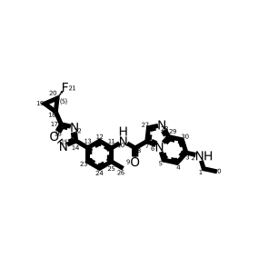 CCNc1ccn2c(C(=O)Nc3cc(-c4noc(C5C[C@@H]5F)n4)ccc3C)cnc2c1